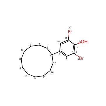 Oc1c(Br)cc(C2CCCCCCCCCCC2)cc1Br